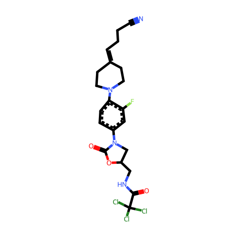 N#CCCC=C1CCN(c2ccc(N3CC(CNC(=O)C(Cl)(Cl)Cl)OC3=O)cc2F)CC1